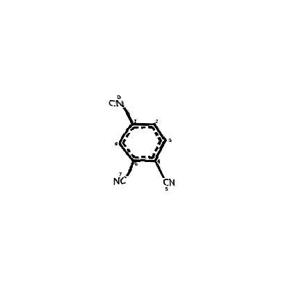 [C-]#[N+]c1ccc(C#N)c(C#N)c1